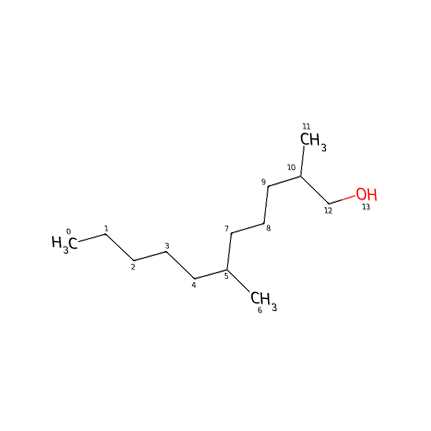 CCCCCC(C)CCCC(C)CO